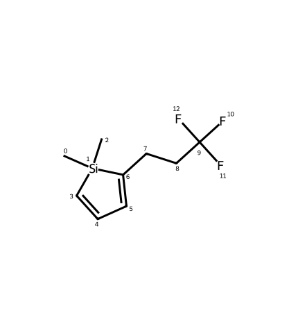 C[Si]1(C)C=CC=C1CCC(F)(F)F